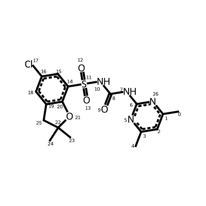 Cc1cc(C)nc(NC(=O)NS(=O)(=O)c2cc(Cl)cc3c2OC(C)(C)C3)n1